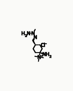 CN(N)N=C[C@H]1CC[C@](N)([N+](C)(C)C)CC1.[Cl-]